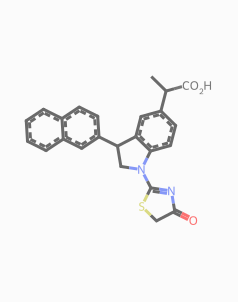 CC(C(=O)O)c1ccc2c(c1)C(c1ccc3ccccc3c1)CN2C1=NC(=O)CS1